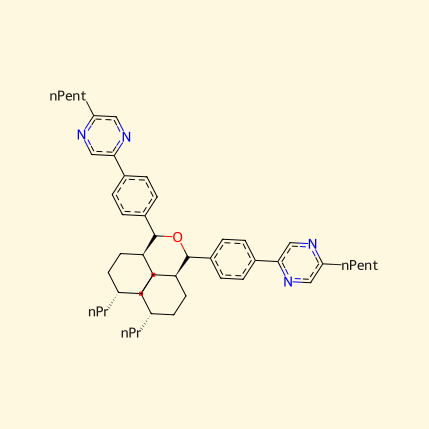 CCCCCc1cnc(-c2ccc(C(OC(c3ccc(-c4cnc(CCCCC)cn4)cc3)[C@H]3CC[C@H](CCC)CC3)[C@H]3CC[C@H](CCC)CC3)cc2)cn1